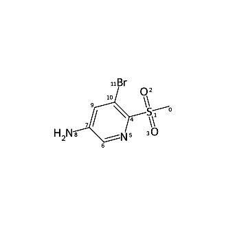 CS(=O)(=O)c1ncc(N)cc1Br